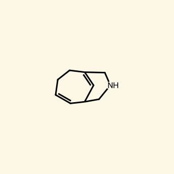 C1=CC2C=C(CC1)CNC2